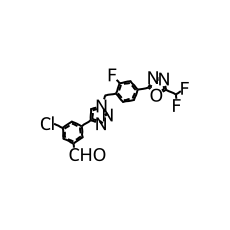 O=Cc1cc(Cl)cc(-c2cn(Cc3ccc(-c4nnc(C(F)F)o4)cc3F)nn2)c1